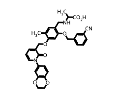 Cc1cc(CNC(C)C(=O)O)c(OCc2cccc(C#N)c2)cc1OCc1cccn(-c2ccc3c(c2)OCCO3)c1=O